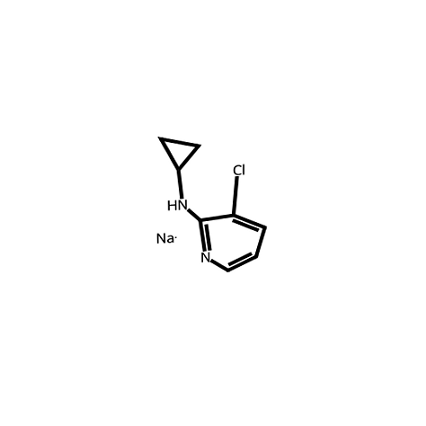 Clc1cccnc1NC1CC1.[Na]